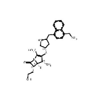 C[C@H]1C(S[C@@H]2CNC(Cc3ccc(CN)c4ccccc34)C2)=C(C(=O)O)N2C(=O)[C@@H](CCO)[C@H]12